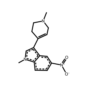 CN1CC=C(c2cn(C)c3ccc([N+](=O)[O-])cc23)CC1